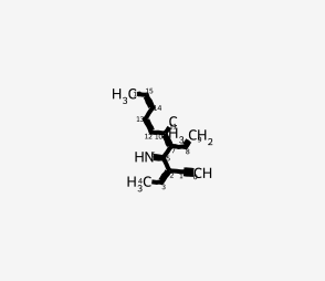 C#C/C(=C/C)C(=N)\C(C=C)=C(C)/C=C\C=C/C